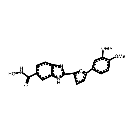 COc1ccc(-c2ccc(-c3nc4ccc(C(=O)NO)cc4[nH]3)o2)cc1OC